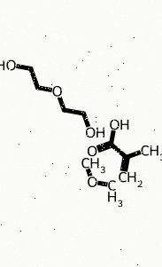 C=C(C)C(=O)O.COC.OCCOCCO